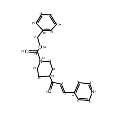 O=C(C=Cc1ccncc1)C1CCN(C(=O)OCc2ccccc2)CC1